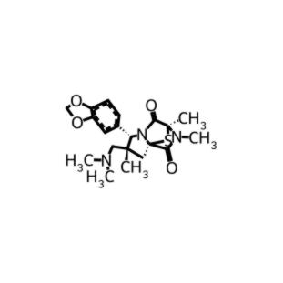 CN(C)C[C@@]1(C)C[C@@]23S[C@@](C)(C(=O)N2[C@H]1c1ccc2c(c1)OCO2)N(C)C3=O